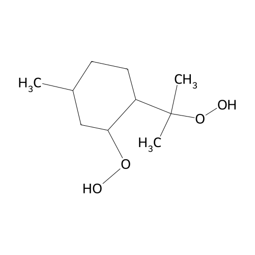 CC1CCC(C(C)(C)OO)C(OO)C1